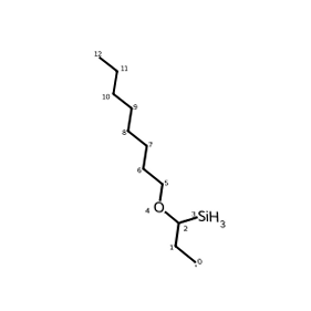 [CH2]CC([SiH3])OCCCCCCCC